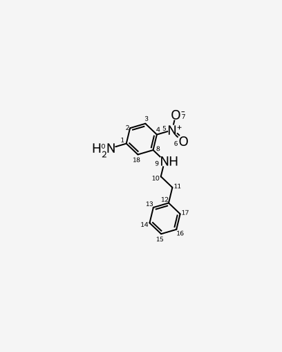 Nc1ccc([N+](=O)[O-])c(NCCc2ccccc2)c1